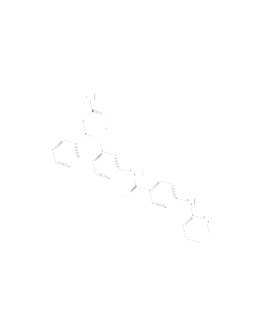 O=C(O)CC(c1ccccc1)[S+]([O-])c1cccc(NC(=O)c2ccc(NC3=CCCCN3)cc2)c1